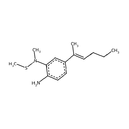 CCC/C=C(\C)c1ccc(N)c(N(C)SC)c1